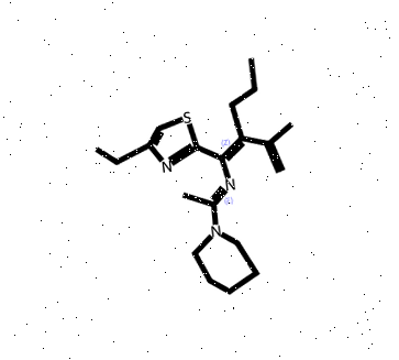 C=C(C)/C(CCC)=C(\N=C(/C)N1CCCCC1)c1nc(CC)cs1